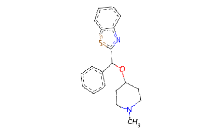 CN1CCC(OC(c2ccccc2)c2nc3ccccc3s2)CC1